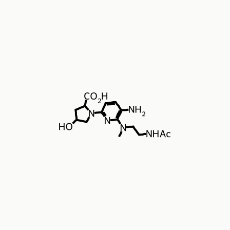 CC(=O)NCCN(C)c1nc(N2CC(O)CC2C(=O)O)ccc1N